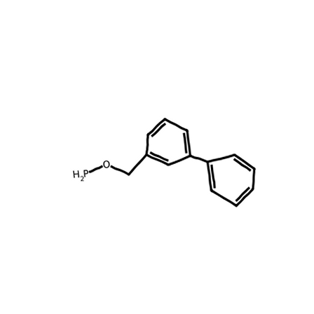 POCc1cccc(-c2ccccc2)c1